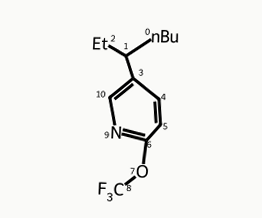 CCCCC(CC)c1ccc(OC(F)(F)F)nc1